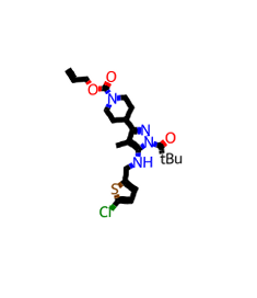 C=CCOC(=O)N1CCC(c2nn(C(=O)C(C)(C)C)c(NCc3ccc(Cl)s3)c2C)CC1